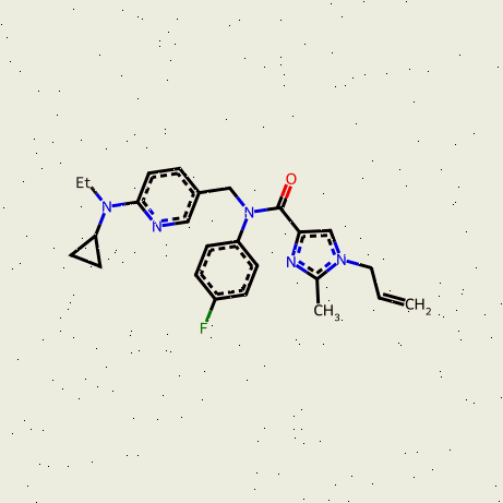 C=CCn1cc(C(=O)N(Cc2ccc(N(CC)C3CC3)nc2)c2ccc(F)cc2)nc1C